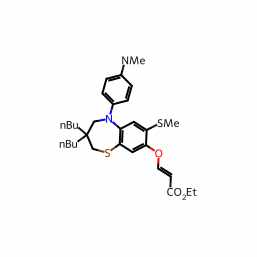 CCCCC1(CCCC)CSc2cc(O/C=C/C(=O)OCC)c(SC)cc2N(c2ccc(NC)cc2)C1